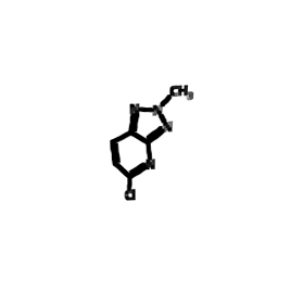 Cn1nc2ccc(Cl)nc2n1